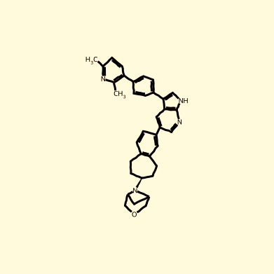 Cc1ccc(-c2ccc(-c3c[nH]c4ncc(-c5ccc6c(c5)CC[C@@H](N5C7COCC5C7)CC6)cc34)cc2)c(C)n1